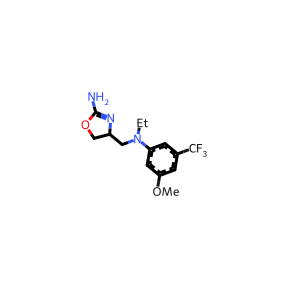 CCN(CC1COC(N)=N1)c1cc(OC)cc(C(F)(F)F)c1